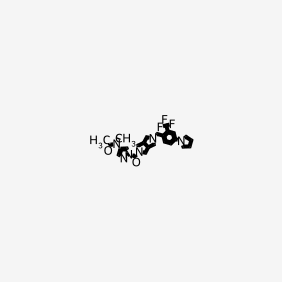 CC(=O)N(C)c1cnn(C(=O)N2CC3CN(Cc4ccc(N5CCCC5)cc4C(F)(F)F)CC3C2)c1